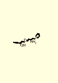 CC#CC(O)CCOCCC(N)CCN1CCCCC1